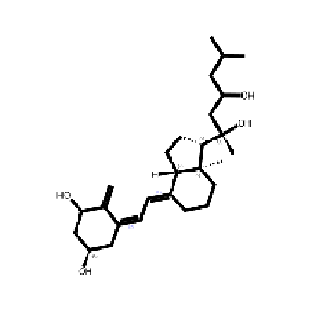 C=C1/C(=C\C=C2/CCC[C@@]3(C)[C@H]2CC[C@@H]3[C@@](C)(O)CC(O)CC(C)C)C[C@@H](O)CC1O